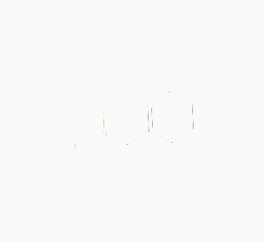 [2H]N(Cc1ccccc1)C(C)(C)C